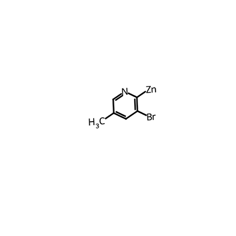 Cc1cn[c]([Zn])c(Br)c1